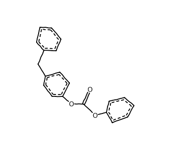 O=C(Oc1ccccc1)Oc1ccc(Cc2ccccc2)cc1